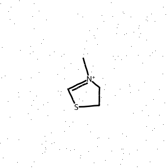 C[N+]1=CSCC1